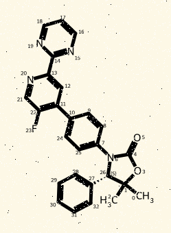 CC1(C)OC(=O)N(c2ccc(-c3cc(-c4ncccn4)ncc3F)cc2)[C@H]1c1ccccc1